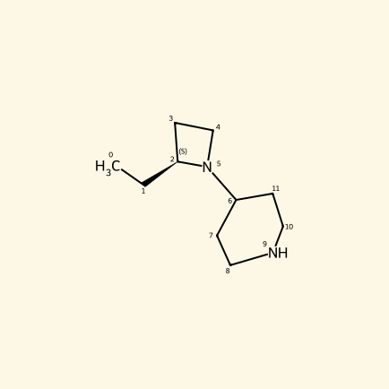 CC[C@H]1CCN1C1CCNCC1